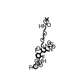 CC(C)(C)OC(=O)NCCOCCOCCn1c(=O)c(-c2c(F)ccc(NS(=O)(=O)N3CC[C@@H](F)C3)c2F)cc2cnc(S(C)(=O)=O)nc21